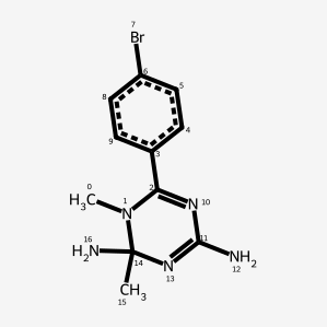 CN1C(c2ccc(Br)cc2)=NC(N)=NC1(C)N